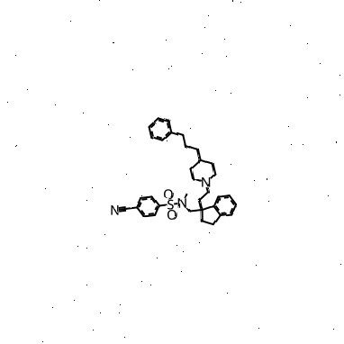 CN(CC1(CCN2CCC(CCCc3ccccc3)CC2)CCc2ccccc21)S(=O)(=O)c1ccc(C#N)cc1